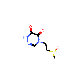 C[S+]([O-])CCn1[c]n[nH]c(=O)c1=O